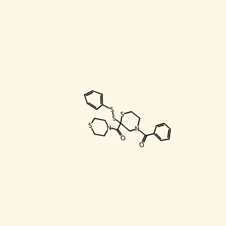 O=C(c1ccccc1)N1CCSC(SSc2ccccc2)(C(=O)N2CCSCC2)C1